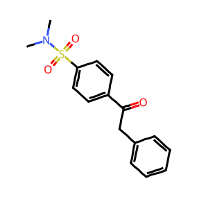 CN(C)S(=O)(=O)c1ccc(C(=O)Cc2ccccc2)cc1